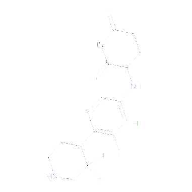 Cl.O=C1CCC(Nc2ccc(C3CCNCC3(F)F)c(F)c2)C(=O)N1